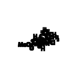 COC(=O)c1cccc(S(=O)(=O)Nc2nc(Cl)c(C)c(-c3c(C)cccc3C)n2)c1